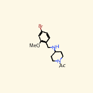 COc1cc(Br)ccc1CNC1CCN(C(C)=O)CC1